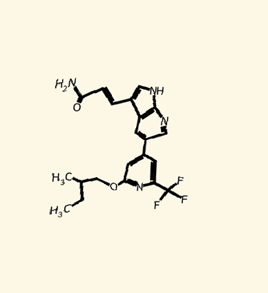 CCC(C)COc1cc(-c2cnc3[nH]cc(C=CC(N)=O)c3c2)cc(C(F)(F)F)n1